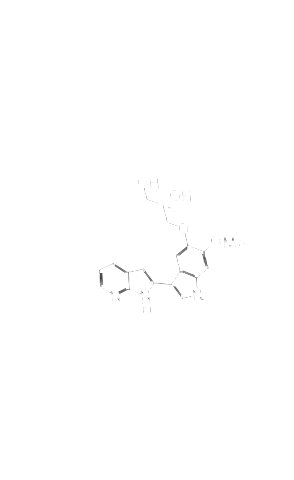 COc1cc2c(cc1OC[C@@H](O)CO)c(-c1cc3cccnc3[nH]1)cn2C